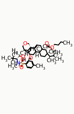 CCCCOC(=O)[C@@H]1[C@@](C)([C@H](C)C(C)C)CC[C@]2(C)[C@H]3CC[C@@H]4[C@@]5(COC[C@]4(C)[C@@H](OC[C@H](N(C)S(=O)(=O)c4ccc(C)cc4)C(C)(C)C)[C@H](OC)C5)C3=CC[C@@]12C